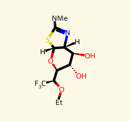 CCO[C@H]([C@H]1O[C@@H]2SC(NC)=N[C@@H]2[C@@H](O)[C@@H]1O)C(F)(F)F